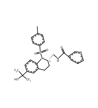 Cc1ccc(S(=O)(=O)N2c3ccc(C(O)(C(F)(F)F)C(F)(F)F)cc3CC[C@H]2CNC(=O)c2cccnc2)cc1